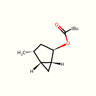 C[C@@H]1C[C@@H](OC(=O)C(C)(C)C)[C@@H]2C[C@@H]21